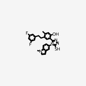 Cc1cc(O)c(-c2nnc(S)n2-c2ccc3c(ccn3C)c2)cc1CCc1cc(F)cc(F)c1